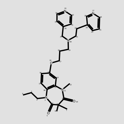 CCCN1C(=O)C(C)(C)C(=O)N(C)c2cc(OCCCN(CCc3cccnc3)Cc3ccncc3)ccc21